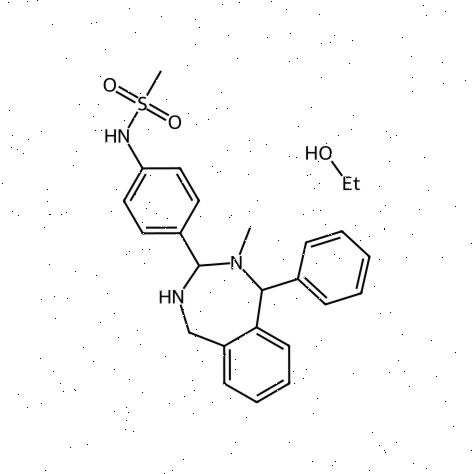 CCO.CN1C(c2ccc(NS(C)(=O)=O)cc2)NCc2ccccc2C1c1ccccc1